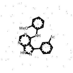 COc1ccccc1Nc1ncnc2[nH]nc(-c3cccc(C(C)=O)c3)c12